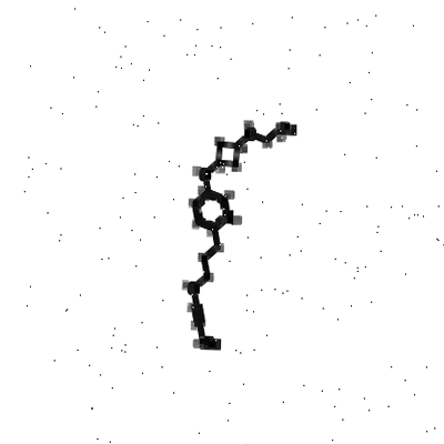 CC(C)(C)C#COCCCc1ccc(OC2CC(OCC(C)(C)C)C2)cn1